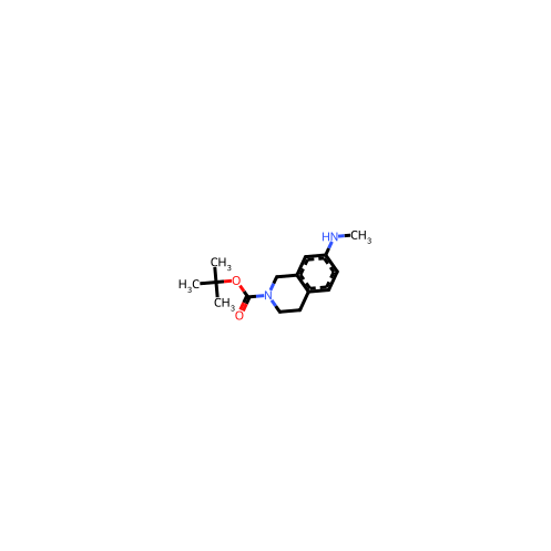 CNc1ccc2c(c1)CN(C(=O)OC(C)(C)C)CC2